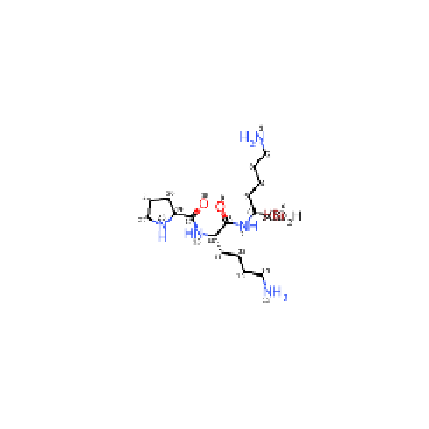 Br.NCCCC[C@H](NC(=O)[C@H](CCCCN)NC(=O)[C@@H]1CCCN1)C(=O)O